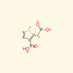 [O]C(=O)Cc1sccc1C(=O)O